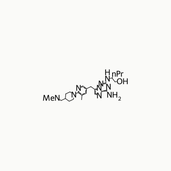 CCCC(CO)Nc1nc(N)c2ncc(Cc3cnc(N4CCC(CNC)CC4)c(C)c3)n2n1